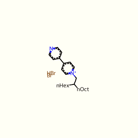 Br.CCCCCCCCC(CCCCCC)C[n+]1ccc(-c2ccncc2)cc1.[Br-]